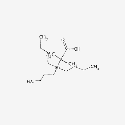 CCC[CH2][Sn]([CH2]CCC)([CH2]CCC)[C](C)(C)C(=O)O